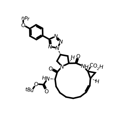 CCCOc1ccc(-c2nnn([C@@H]3C[C@H]4C(=O)N[C@]5(C(=O)O)C[C@H]5/C=C\CCCCC[C@H](NC(=O)OC(C)(C)C)C(=O)N4C3)n2)cc1